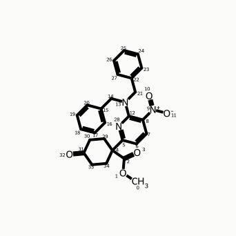 COC(=O)C1(c2ccc([N+](=O)[O-])c(N(Cc3ccccc3)Cc3ccccc3)n2)CCC(=O)CC1